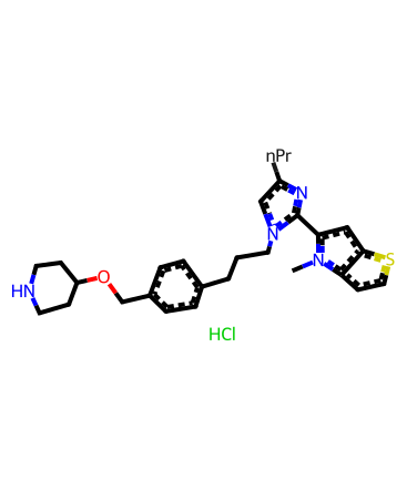 CCCc1cn(CCCc2ccc(COC3CCNCC3)cc2)c(-c2cc3sccc3n2C)n1.Cl